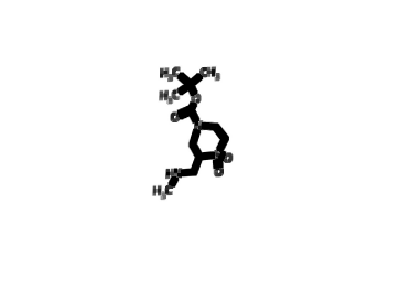 CNCC1CN(C(=O)OC(C)(C)C)CCS1(=O)=O